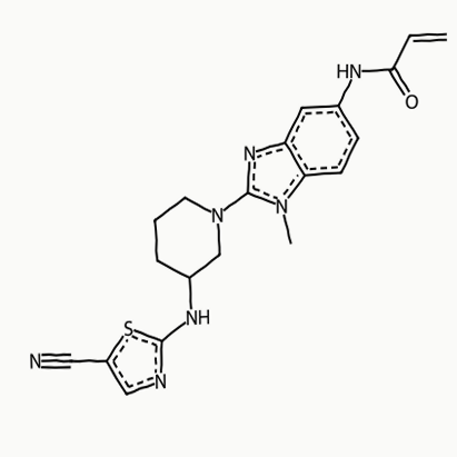 C=CC(=O)Nc1ccc2c(c1)nc(N1CCCC(Nc3ncc(C#N)s3)C1)n2C